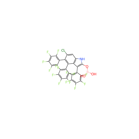 OB(O)Oc1[nH]c2cc(Cl)c(-c3c(F)c(F)c(F)c(F)c3F)c(-c3c(F)c(F)c(F)c(F)c3F)c2c1-c1c(F)c(F)c(F)c(F)c1F